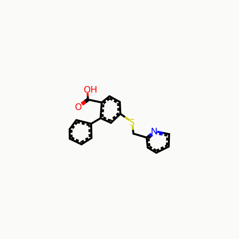 O=C(O)c1ccc(SCc2ccccn2)cc1-c1ccccc1